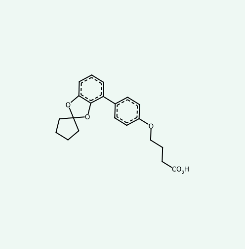 O=C(O)CCCOc1ccc(-c2cccc3c2OC2(CCCC2)O3)cc1